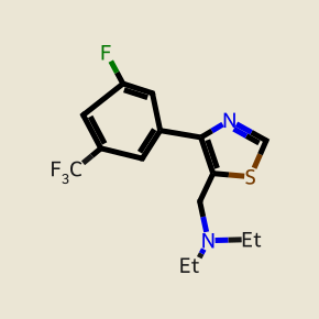 CCN(CC)Cc1scnc1-c1cc(F)cc(C(F)(F)F)c1